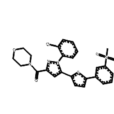 CS(=O)(=O)c1cccc(-c2ccc(-c3cc(C(=O)N4CCOCC4)nn3-c3ccccc3Cl)s2)c1